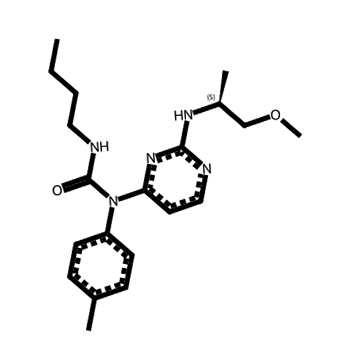 CCCCNC(=O)N(c1ccc(C)cc1)c1ccnc(N[C@@H](C)COC)n1